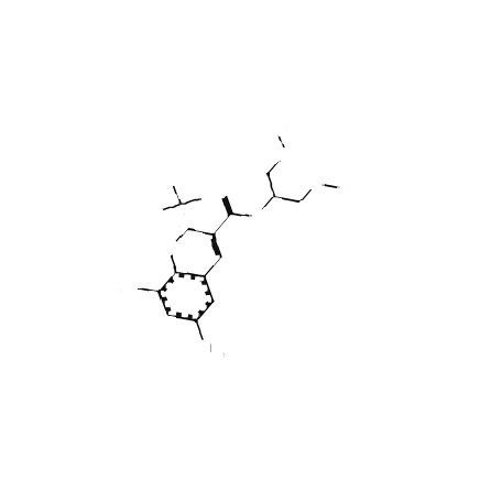 COCC(COC)OC(=O)C1=Cc2cc(C)cc(C)c2O[C@@H]1C(F)(F)F